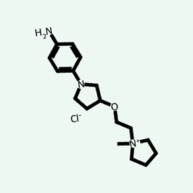 C[N+]1(CCOC2CCN(c3ccc(N)cc3)C2)CCCC1.[Cl-]